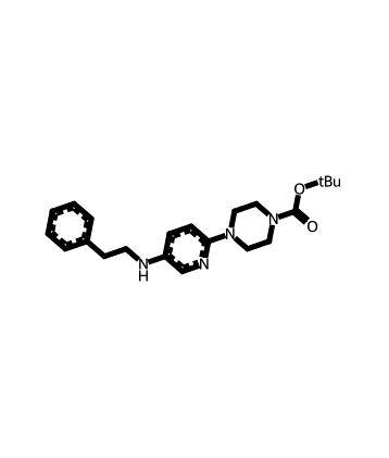 CC(C)(C)OC(=O)N1CCN(c2ccc(NCCc3ccccc3)cn2)CC1